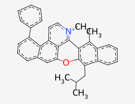 Cc1c2c(c(CC(C)C)c3ccccc13)Oc1cc3cccc(-c4ccccc4)c3c3cc[n+](C)c-2c13